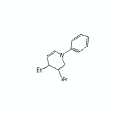 CCC1C=CN(c2ccccc2)CC1C(C)C